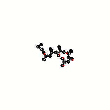 c1ccc(-c2cc(-c3cccc(-c4cc(-c5ccc6c(c5)c5ccccc5n6-c5nc(-c6ccccc6)nc(-c6ccc(-c7cc(-c8ccc9c(c8)c8ccccc8n9-c8cccc(-c9nc(-c%10ccccc%10)nc(-c%10ccccc%10)n9)c8)c8sc9ccccc9c8c7)cc6)n5)c5sc6ccccc6c5c4)c3)nc(-c3ccc(-c4ccc(-n5c6ccccc6c6ccccc65)cc4)cc3)n2)cc1